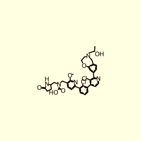 COc1nc(-c2cccc(-c3ccnc(-c4ccc5c(c4)OCCN(CC(C)O)C5)c3Cl)c2Cl)ccc1CN(CC1CCC(=O)N1)C(=O)O